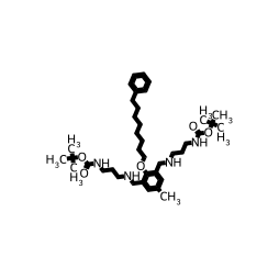 Cc1cc(CNCCCNC(=O)OC(C)(C)C)c(OCCCCCCCCc2ccccc2)c(CNCCCNC(=O)OC(C)(C)C)c1